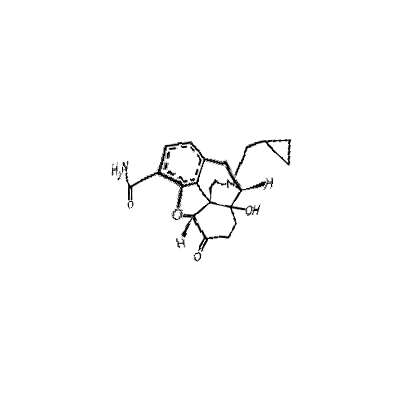 NC(=O)c1ccc2c3c1O[C@H]1C(=O)CCC4(O)[C@@H](C2)N(CC2CC2)CC[C@]314